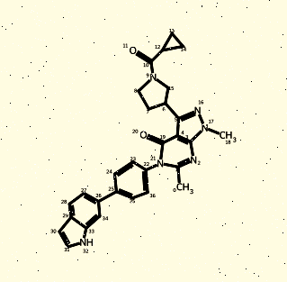 Cc1nc2c(c(C3CCN(C(=O)C4CC4)C3)nn2C)c(=O)n1-c1ccc(-c2ccc3cc[nH]c3c2)cc1